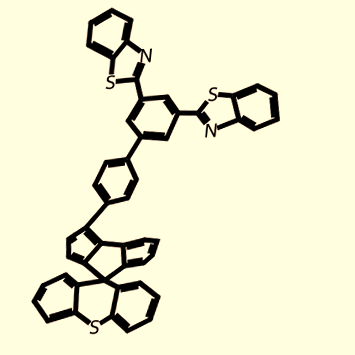 c1ccc2c(c1)Sc1ccccc1C21c2ccccc2-c2c(-c3ccc(-c4cc(-c5nc6ccccc6s5)cc(-c5nc6ccccc6s5)c4)cc3)cccc21